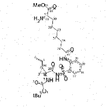 C=C[C@@H]1C[C@]1(NC(=O)OC(C)(C)C)C(=O)NS(=O)(=O)c1ccccc1NC(=O)CCCCCC[C@H](N)C(=O)OC